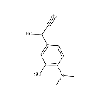 C#CC(O)c1ccc(N(C)C)c(C(C)(C)C)c1